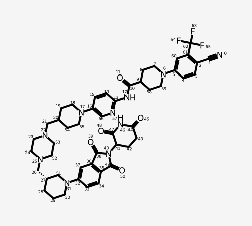 N#Cc1ccc(N2CCC(C(=O)Nc3ccc(N4CCC(CN5CCN(C[C@H]6CCCN(c7ccc8c(c7)C(=O)N(C7CCC(=O)NC7=O)C8=O)C6)CC5)CC4)cn3)CC2)cc1C(F)(F)F